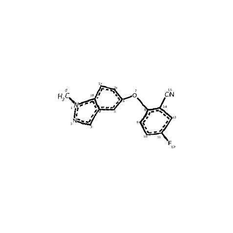 Cn1ncc2cc(Oc3ccc(F)cc3C#N)ccc21